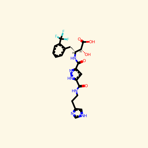 O=C(N[C@H](Cc1ccccc1C(F)(F)F)[C@@H](O)C(=O)O)c1cc(C(=O)NCCc2c[nH]cn2)[nH]n1